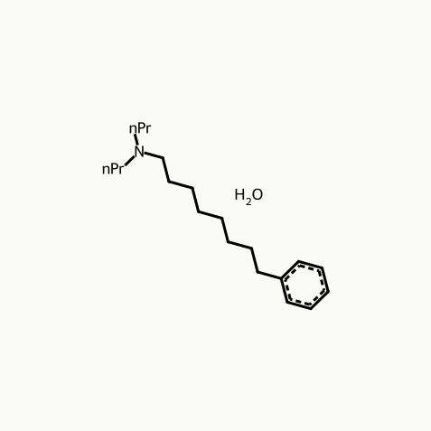 CCCN(CCC)CCCCCCCCc1ccccc1.O